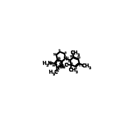 CC1=CC(C)(C)C(N2CCCc3c2nn(C)c3N)C(C)=C1